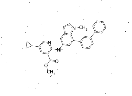 COC(=O)c1cc(C2CC2)cnc1Nc1cc(-c2cccc(-c3ccccc3)c2)c2c(ccn2C)c1